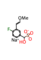 COC=Cc1cc(C(O)S(=O)(=O)[O-])ccc1F.[Na+]